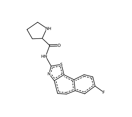 O=C(Nc1nc2ccc3cc(F)ccc3c2s1)C1CCCN1